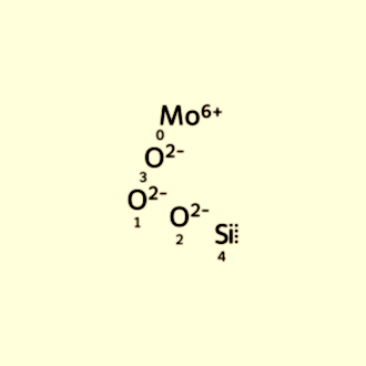 [Mo+6].[O-2].[O-2].[O-2].[Si]